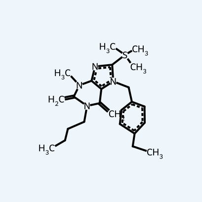 C=C1c2c(nc(S(C)(C)C)n2Cc2ccc(CC)cc2)N(C)C(=C)N1CCCC